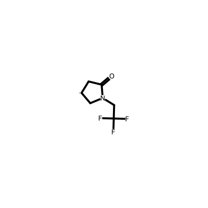 O=C1C[CH]CN1CC(F)(F)F